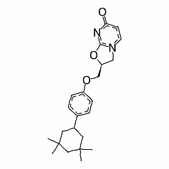 CC1(C)CC(c2ccc(OC[C@@H]3Cn4ccc(=O)nc4O3)cc2)CC(C)(C)C1